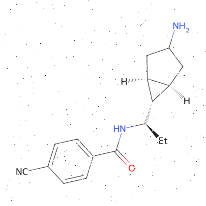 CC[C@@H](NC(=O)c1ccc(C#N)cc1)[C@H]1[C@@H]2CC(N)C[C@@H]21